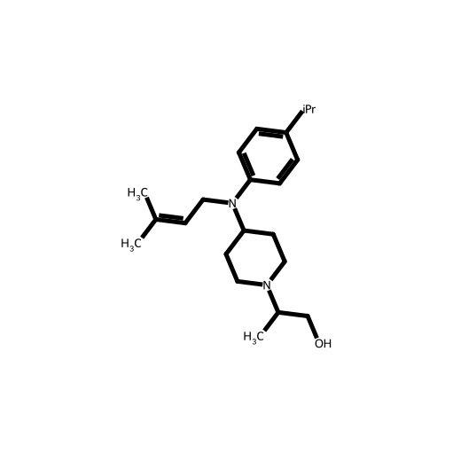 CC(C)=CCN(c1ccc(C(C)C)cc1)C1CCN(C(C)CO)CC1